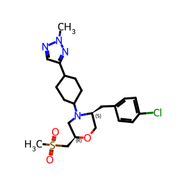 Cn1ncc(C2CCC(N3C[C@H](CS(C)(=O)=O)OC[C@@H]3Cc3ccc(Cl)cc3)CC2)n1